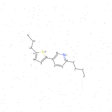 CCCCc1ccc(-c2ccc(CCC)s2)cn1